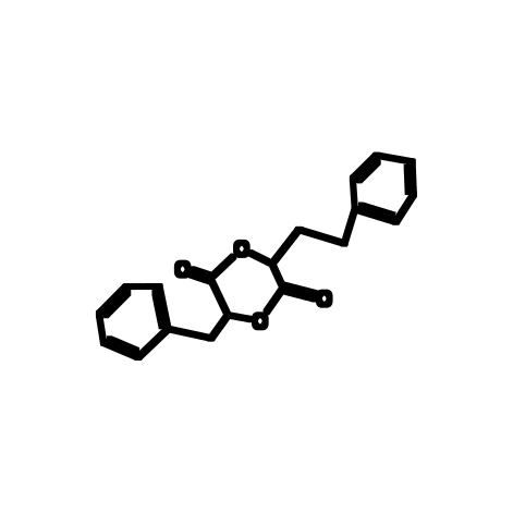 O=C1OC(Cc2ccccc2)C(=O)OC1CCc1ccccc1